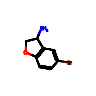 NC1COc2ccc(Br)cc21